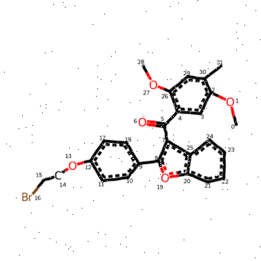 COc1cc(C(=O)c2c(-c3ccc(OCCBr)cc3)oc3ccccc23)c(OC)cc1C